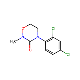 CN1OCCN(c2ccc(Cl)cc2Cl)C1=O